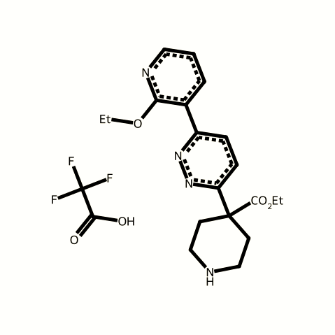 CCOC(=O)C1(c2ccc(-c3cccnc3OCC)nn2)CCNCC1.O=C(O)C(F)(F)F